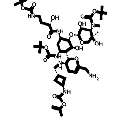 C=C(C)OC(=O)N[C@H]1C[C@H](CN[C@@H]2CC=C(CN)OC2[C@H]2[C@H](O)[C@@H](O[C@H]3OC[C@](C)(O)[C@H](N(C)C(=O)OC(C)(C)C)[C@H]3O)[C@H](NC(=O)[C@@H](O)CCNC(=O)OC(C)(C)C)C[C@@H]2NC(=O)OC(C)(C)C)C1